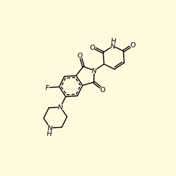 O=C1C=CC(N2C(=O)c3cc(F)c(N4CCNCC4)cc3C2=O)C(=O)N1